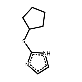 c1c[nH]c(SC2CCCC2)n1